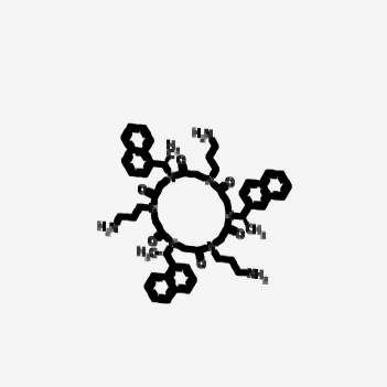 C[C@@H](c1ccc2ccccc2c1)N1CC(=O)N(CCCN)CC(=O)N([C@@H](C)c2cccc3ccccc23)CC(=O)N(CCCN)CC(=O)N([C@@H](C)c2cccc3ccccc23)CC(=O)N(CCCN)CC1=O